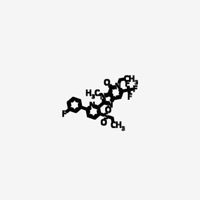 CCn1c(C(F)(F)F)cc2nc(-c3nc(-c4cccc(F)c4)ccc3S(=O)(=O)CC)n(C)c2c1=O